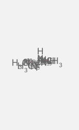 CC1=Nc2c(F)cc(-c3c[nH]c4nc(NCC5(C)CC5)ncc34)cc2C1CC1CCN(C)CC1